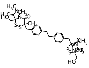 C=C(NC)C1(CO)SSC(C)(Cc2ccc(CCc3ccc(C[C@@]45SS[C@@](CO)(C(=O)N4C)N(C)C5=O)cc3)cc2)C(=O)N1C